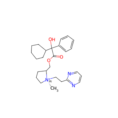 C[N@+]1(CCc2ncccn2)CCCC1COC(=O)C(O)(c1ccccc1)C1CCCCC1